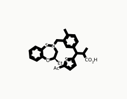 CC[C@@H]1CN(Cc2cc(C(c3ccc(C(C)=O)s3)C(C)C(=O)O)ccc2C)Sc2ccccc2O1